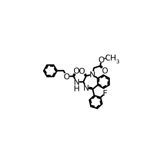 COC(=O)CN1C(=O)C(NC(=O)OCc2ccccc2)N=C(c2ccccc2F)c2ccccc21